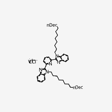 CCCCCCCCCCCCCCCCCCn1c(-c2cccc(-c3nc4ccccc4n3CCCCCCCCCCCCCCCCCC)n2)nc2ccccc21.[Cl-].[Cl-].[V+2]